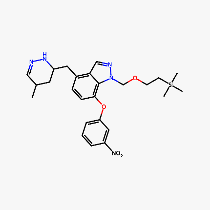 CC1C=NNC(Cc2ccc(Oc3cccc([N+](=O)[O-])c3)c3c2cnn3COCC[Si](C)(C)C)C1